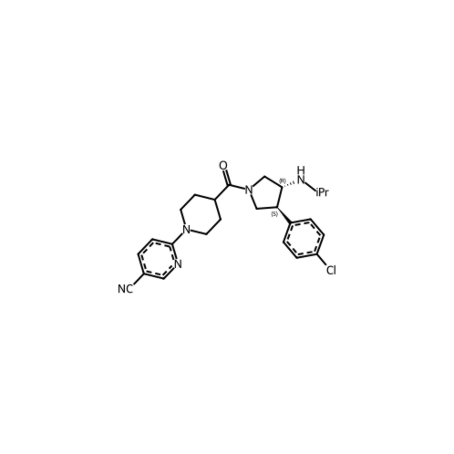 CC(C)N[C@H]1CN(C(=O)C2CCN(c3ccc(C#N)cn3)CC2)C[C@@H]1c1ccc(Cl)cc1